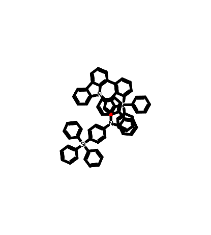 c1ccc([Si](c2ccccc2)(c2ccccc2)c2ccc(-n3c4ccccc4c4ccc(-n5c6ccccc6c6cccc(-c7cccc8c7-c7ccccc7[Si]8(c7ccccc7)c7ccccc7)c65)cc43)cc2)cc1